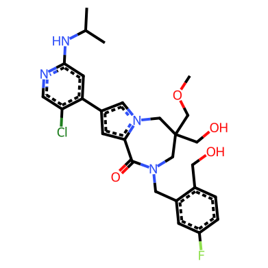 COCC1(CO)CN(Cc2cc(F)ccc2CO)C(=O)c2cc(-c3cc(NC(C)C)ncc3Cl)cn2C1